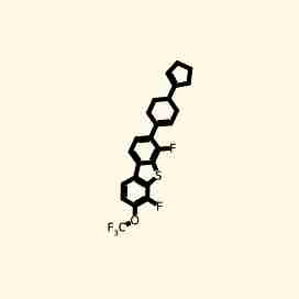 Fc1c(OC(F)(F)F)ccc2c1sc1c(F)c(C3=CCC(C4=CCCC4)CC3)ccc12